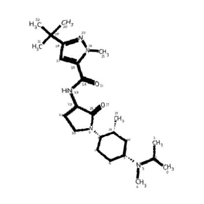 CC(C)N(C)[C@@H]1CC[C@H](N2CCC(NC(=O)c3cc(C(C)(C)C)nn3C)C2=O)[C@H](C)C1